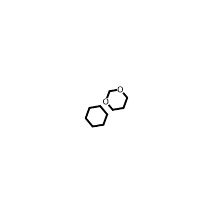 C1CCCCC1.C1COCOC1